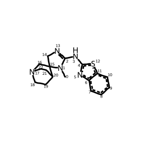 CN1C(Nc2nc3ccccc3s2)=NCC12CN1CCC2CC1